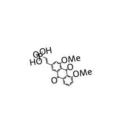 COc1cccc2c1C(=O)c1c(OC)cc(C=CP(=O)(O)O)cc1C2=O